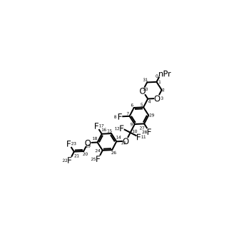 CCCC1COC(c2cc(F)c(C(F)(F)Oc3cc(F)c(OC=C(F)F)c(F)c3)c(F)c2)OC1